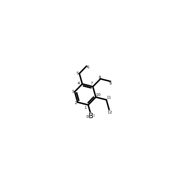 [B]c1ccc(CC)c(CC)c1CC